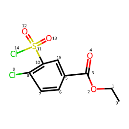 CCOC(=O)c1ccc(Cl)c(S(=O)(=O)Cl)c1